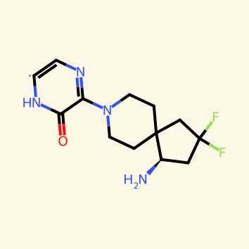 N[C@@H]1CC(F)(F)CC12CCN(c1nc[c][nH]c1=O)CC2